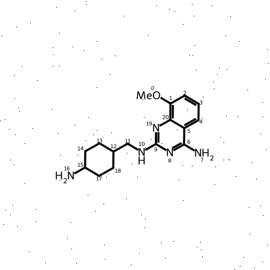 COc1cccc2c(N)nc(NCC3CCC(N)CC3)nc12